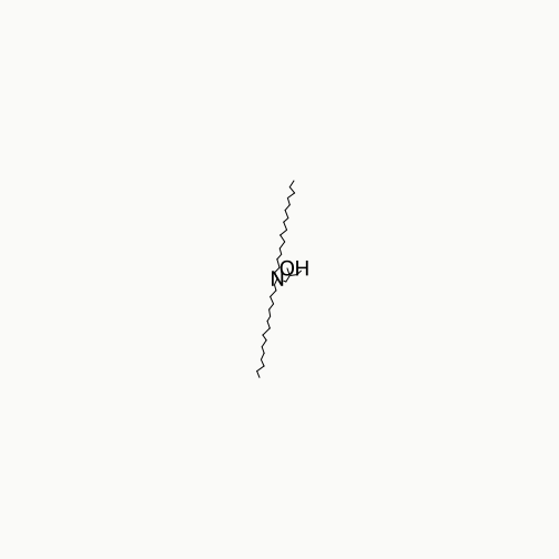 CCCCCCCCCCCCCCCCN(CCCCCCCCCCCCCCCC)CC(O)CC